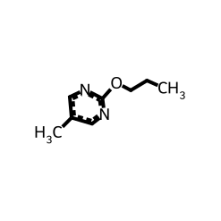 CCCOc1ncc(C)cn1